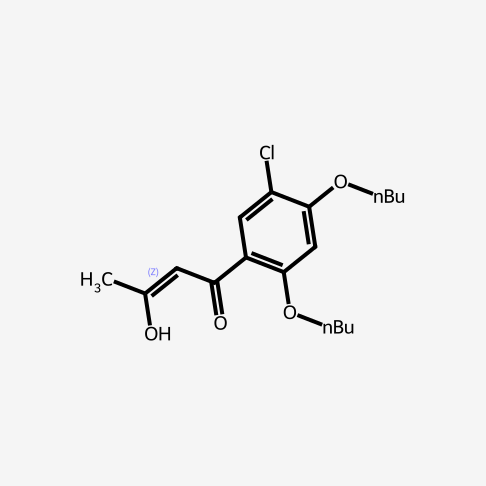 CCCCOc1cc(OCCCC)c(C(=O)/C=C(/C)O)cc1Cl